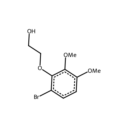 COc1ccc(Br)c(OCCO)c1OC